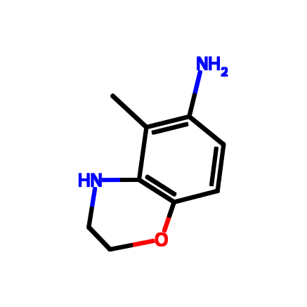 Cc1c(N)ccc2c1NCCO2